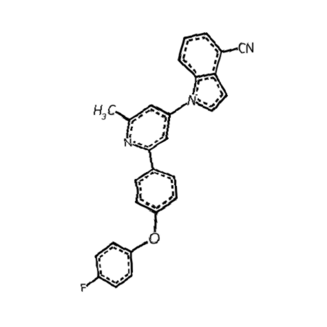 Cc1cc(-n2ccc3c(C#N)cccc32)cc(-c2ccc(Oc3ccc(F)cc3)cc2)n1